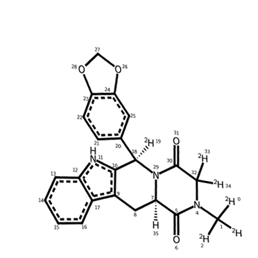 [2H]C([2H])([2H])N1C(=O)[C@H]2Cc3c([nH]c4ccccc34)[C@@]([2H])(c3ccc4c(c3)OCO4)N2C(=O)C1([2H])[2H]